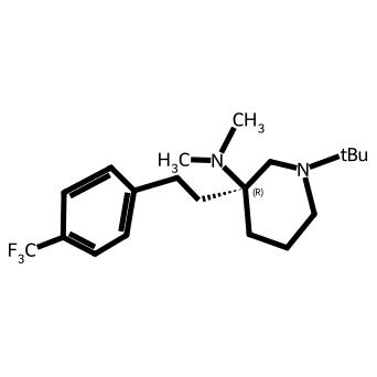 CN(C)[C@]1(CCc2ccc(C(F)(F)F)cc2)CCCN(C(C)(C)C)C1